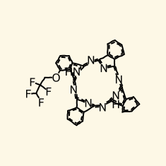 FC(F)C(F)(F)COc1cccc2c3nc4nc(nc5[nH]c(nc6nc(nc([nH]3)c12)-c1ccccc1-6)c1ccccc51)-c1ccccc1-4